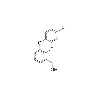 OCc1cccc(Oc2ccc(F)cc2)c1F